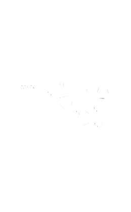 CNCCNC(O)c1ccc(Nc2oc(-c3c(F)cccc3F)nc2C(N)=O)cc1